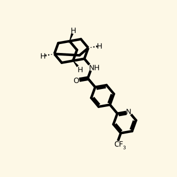 O=C(NC1[C@H]2C[C@@H]3C[C@@H](C[C@H]1C3)C2)c1ccc(-c2cc(C(F)(F)F)ccn2)cc1